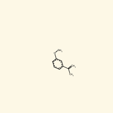 C=C(C)c1cccc(O[SiH3])c1